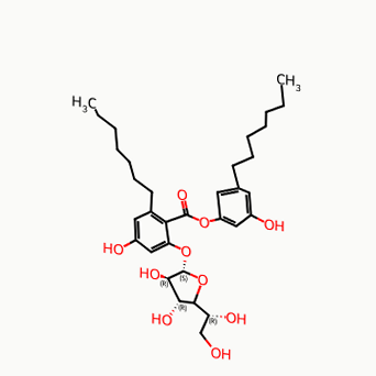 CCCCCCCc1cc(O)cc(OC(=O)c2c(CCCCCCC)cc(O)cc2O[C@@H]2OC([C@H](O)CO)[C@H](O)[C@H]2O)c1